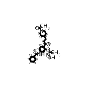 CC(=O)N1CCC(CCC(=O)c2ccc(NC(=O)c3ccccc3)cc2OC(C)=NO)CC1